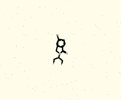 O=C1c2ccc(Br)cc2CN1C(CF)CF